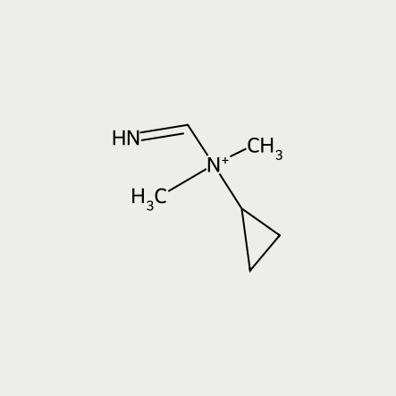 C[N+](C)(C=N)C1CC1